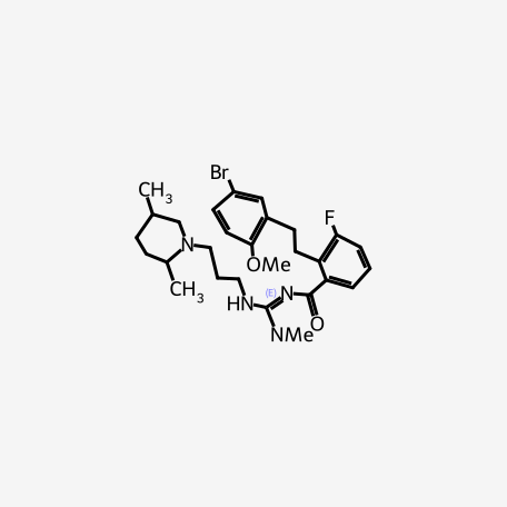 CN/C(=N\C(=O)c1cccc(F)c1CCc1cc(Br)ccc1OC)NCCCN1CC(C)CCC1C